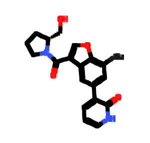 CC(C)(C)c1cc(-c2ccc[nH]c2=O)cc2c(C(=O)N3CCC[C@@H]3CO)coc12